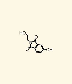 O=C1c2ccc(O)cc2C(=O)N1CCO